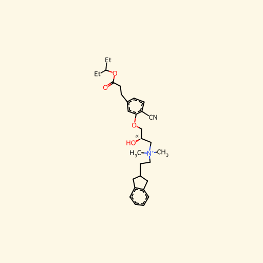 CCC(CC)OC(=O)CCc1ccc(C#N)c(OC[C@H](O)C[N+](C)(C)CCC2Cc3ccccc3C2)c1